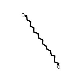 O=[C]CCCCCCCCCCCCCCC[C]=O